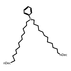 CCCCCCCCCCCCCCCCCCCCCCN(CCCCCCCCCCCCCCCCCCCCCC)c1ccccc1